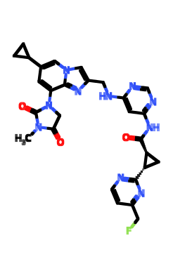 CN1C(=O)CN(c2cc(C3CC3)cn3cc(CNc4cc(NC(=O)[C@H]5C[C@@H]5c5nccc(CF)n5)ncn4)nc23)C1=O